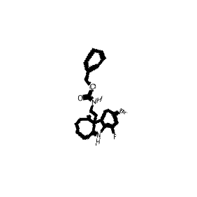 C=C1CCCCC2Nc3c(F)cc(Br)cc3C12CCNC(=O)OCc1ccccc1